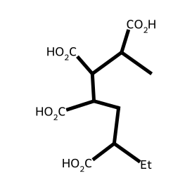 CCC(CC(C(=O)O)C(C(=O)O)C(C)C(=O)O)C(=O)O